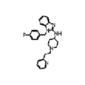 Fc1ccc(Cn2c(NC3CCN(CCc4ccccn4)CC3)nc3ccccc32)cc1